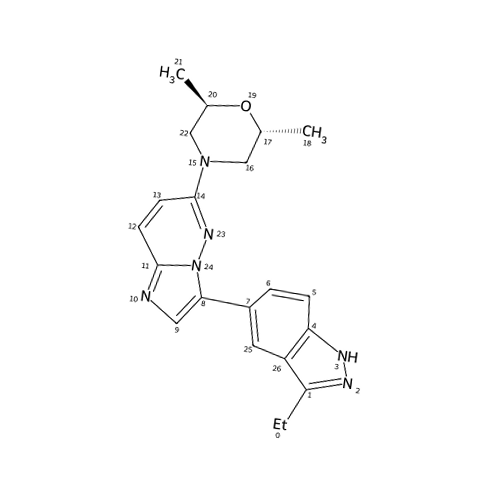 CCc1n[nH]c2ccc(-c3cnc4ccc(N5C[C@@H](C)O[C@H](C)C5)nn34)cc12